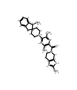 Cc1nc(C(=O)N2CCc3nc(N)sc3C2)c(N)nc1N1CCC2(CC1)Cc1ccccc1[C@H]2N